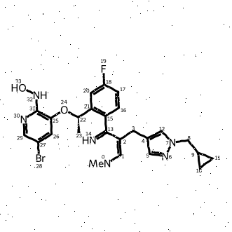 CN/C=C(/Cc1cnn(CC2CC2)c1)C(=N)c1ccc(F)cc1[C@@H](C)Oc1cc(Br)cnc1NO